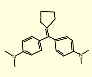 CN(C)c1ccc(C(=C2CCCC2)c2ccc(N(C)C)cc2)cc1